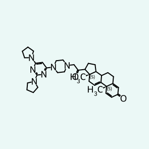 C[C@]12C=CC(=O)C=C1CCC1C2=CC[C@]2(C)C(C(=O)CN3CCN(c4cc(N5CCCC5)nc(N5CCCC5)n4)CC3)CCC12